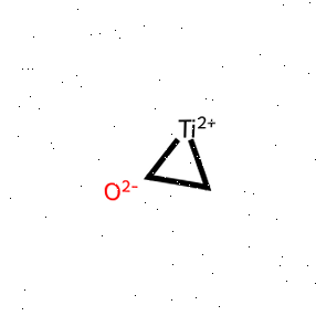 [CH2]1[CH2][Ti+2]1.[O-2]